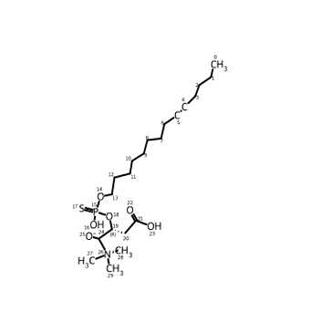 CCCCCCCCCCCCCCOP(O)(=S)O[C@H](CC(=O)O)C([O-])[N+](C)(C)C